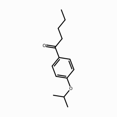 CCCCC(=O)c1ccc(OC(C)C)cc1